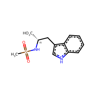 CS(=O)(=O)N[C@@H](Cc1c[nH]c2ccccc12)C(=O)O